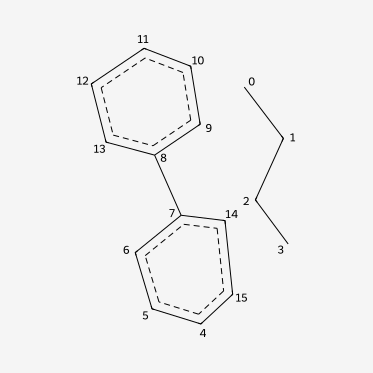 CCCC.c1ccc(-c2ccccc2)cc1